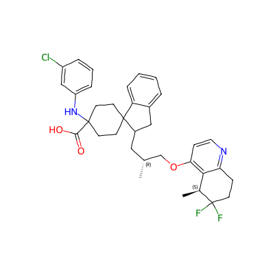 C[C@@H](COc1ccnc2c1[C@H](C)C(F)(F)CC2)CC1Cc2ccccc2C12CCC(Nc1cccc(Cl)c1)(C(=O)O)CC2